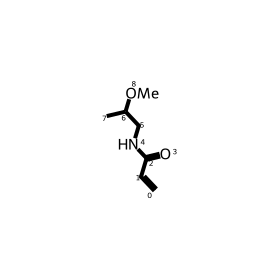 C=CC(=O)NCC(C)OC